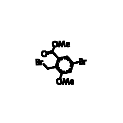 COC(=O)c1cc(Br)cc(OC)c1CBr